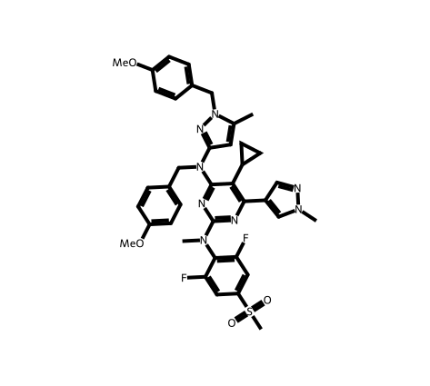 COc1ccc(CN(c2cc(C)n(Cc3ccc(OC)cc3)n2)c2nc(N(C)c3c(F)cc(S(C)(=O)=O)cc3F)nc(-c3cnn(C)c3)c2C2CC2)cc1